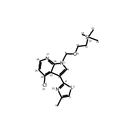 Cc1csc(-c2cn(COCC[Si](C)(C)C)c3nccc(Cl)c23)n1